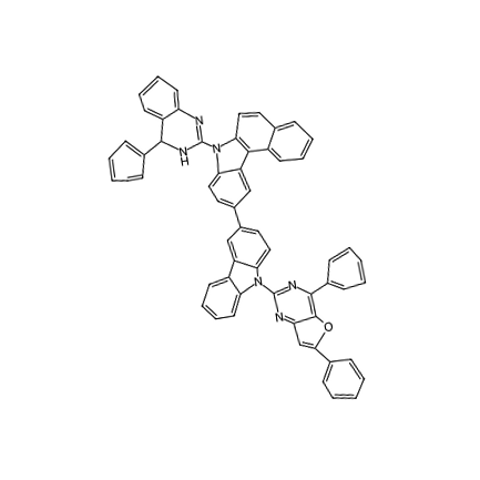 c1ccc(-c2cc3nc(-n4c5ccccc5c5cc(-c6ccc7c(c6)c6c8ccccc8ccc6n7C6=Nc7ccccc7C(c7ccccc7)N6)ccc54)nc(-c4ccccc4)c3o2)cc1